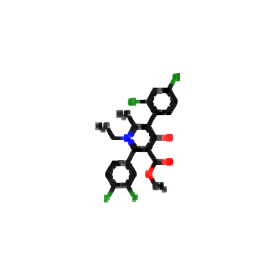 CCn1c(C)c(-c2ccc(Cl)cc2Cl)c(=O)c(C(=O)OC)c1-c1ccc(F)c(F)c1